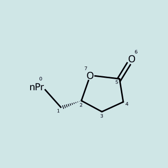 CCCC[C@H]1CCC(=O)O1